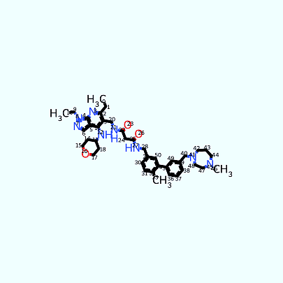 CCc1nc2c(cnn2CC)c(NC2CCOCC2)c1CNC(=O)CC(=O)NCc1ccc(C)c(-c2cccc(CN3CCCN(C)CC3)c2)c1